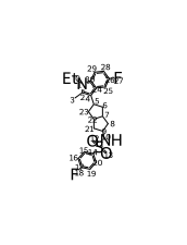 CCn1c(C)c(C2CC3CC(NS(=O)(=O)c4ccc(F)cc4)CC3C2)c2cc(F)ccc21